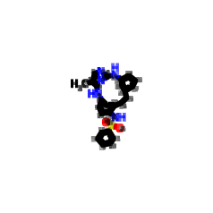 Cc1cnc2nc1Nc1ccc(NS(=O)(=O)c3ccccc3)c(c1)CCc1cccc(c1)N2